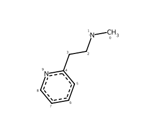 C[N]CCc1ccccn1